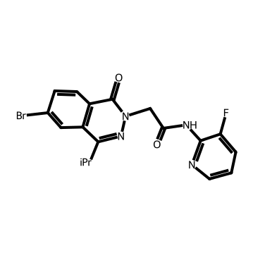 CC(C)c1nn(CC(=O)Nc2ncccc2F)c(=O)c2ccc(Br)cc12